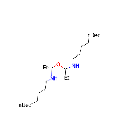 CCCCCCCCCCCCCCNC(CC)OC(CC)NCCCCCCCCCCCCCC